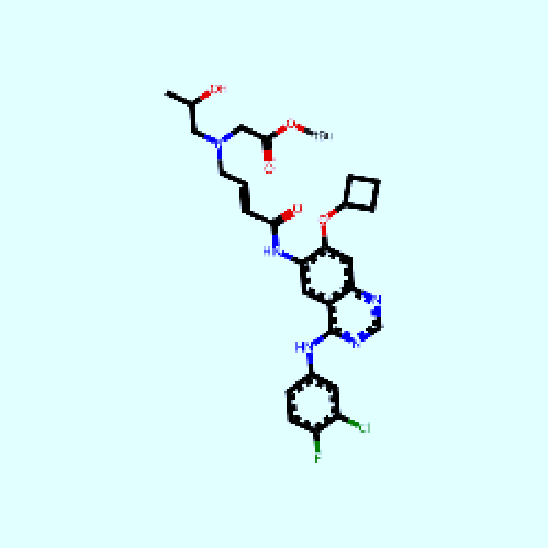 CC(O)CN(CC=CC(=O)Nc1cc2c(Nc3ccc(F)c(Cl)c3)ncnc2cc1OC1CCC1)CC(=O)OC(C)(C)C